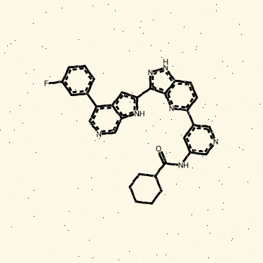 O=C(Nc1cncc(-c2ccc3[nH]nc(-c4cc5c(-c6cccc(F)c6)cncc5[nH]4)c3n2)c1)C1CCCCC1